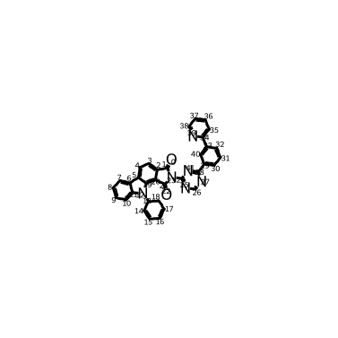 O=C1c2ccc3c4ccccc4n(C4C=CC=CC4)c3c2C(=O)N1c1ncnc(-c2cccc(-c3ccccn3)c2)n1